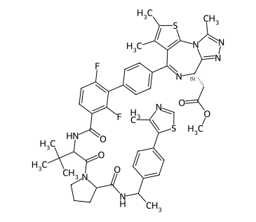 COC(=O)C[C@@H]1N=C(c2ccc(-c3c(F)ccc(C(=O)NC(C(=O)N4CCCC4C(=O)NC(C)c4ccc(-c5scnc5C)cc4)C(C)(C)C)c3F)cc2)c2c(sc(C)c2C)-n2c(C)nnc21